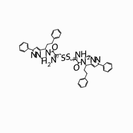 N[C@@H](CSSC[C@H](N)C(=O)N1CCn2nc(-c3ccccc3)cc2C1CCc1ccccc1)C(=O)N1CCn2nc(-c3ccccc3)cc2C1CCc1ccccc1